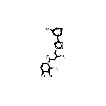 C=C1C=CN(C(C)CC(C)Cn2cc(-c3cccc(C)c3)nn2)C(C)=C1O